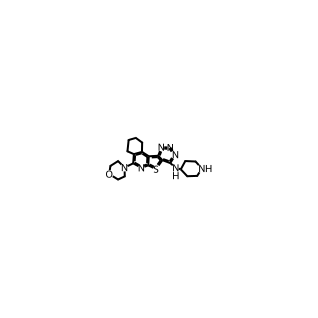 C1CCc2c(c(N3CCOCC3)nc3sc4c(NC5CCNCC5)nnnc4c23)C1